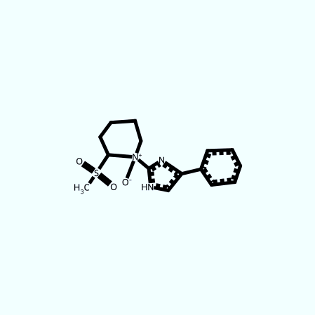 CS(=O)(=O)C1CCCC[N+]1([O-])c1nc(-c2ccccc2)c[nH]1